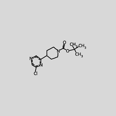 CC(C)(C)OC(=O)N1CCC(c2cncc(Cl)n2)CC1